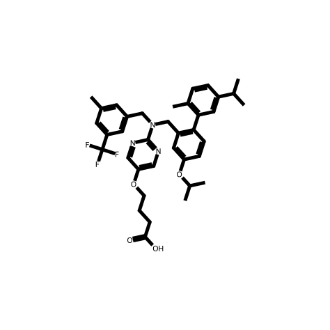 Cc1cc(CN(Cc2cc(OC(C)C)ccc2-c2cc(C(C)C)ccc2C)c2ncc(OCCCC(=O)O)cn2)cc(C(F)(F)F)c1